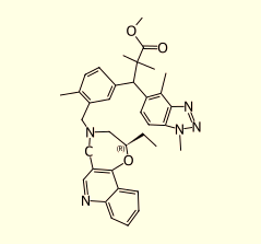 CC[C@@H]1CN(Cc2cc(C(c3ccc4c(nnn4C)c3C)C(C)(C)C(=O)OC)ccc2C)Cc2cnc3ccccc3c2O1